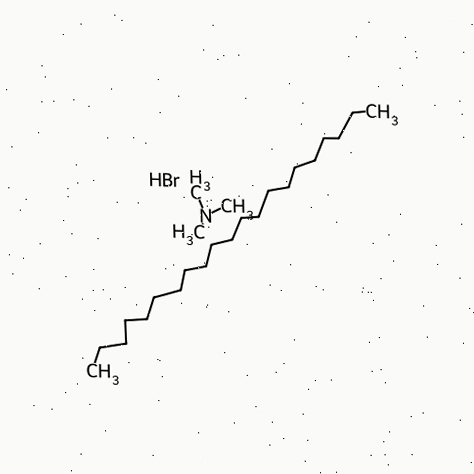 Br.CCCCCCCCCCCCCCCCCCCCC.CN(C)C